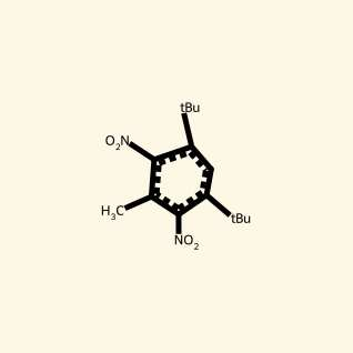 Cc1c([N+](=O)[O-])c(C(C)(C)C)cc(C(C)(C)C)c1[N+](=O)[O-]